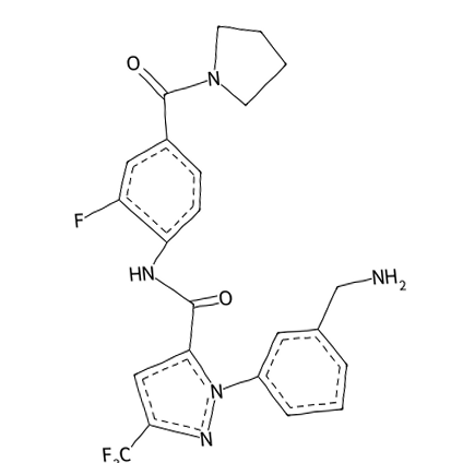 NCc1cccc(-n2nc(C(F)(F)F)cc2C(=O)Nc2ccc(C(=O)N3CCCC3)cc2F)c1